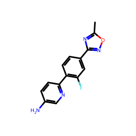 Cc1nc(-c2ccc(-c3ccc(N)cn3)c(F)c2)no1